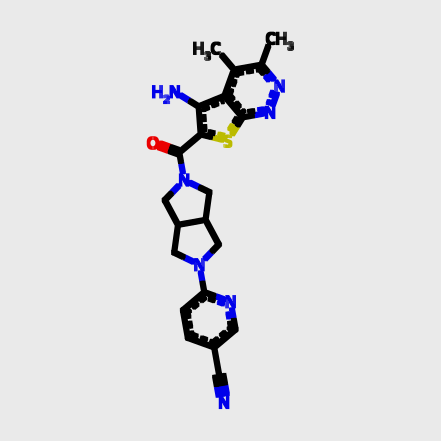 Cc1nnc2sc(C(=O)N3CC4CN(c5ccc(C#N)cn5)CC4C3)c(N)c2c1C